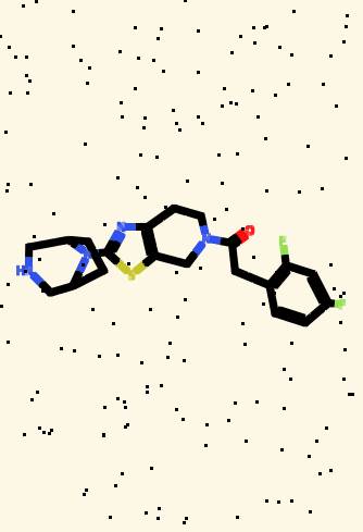 O=C(Cc1ccc(F)cc1F)N1CCc2nc(N3C4CCC3CNC4)sc2C1